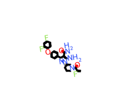 C=C(F)C(=O)N1CCC[C@@H](n2nc(-c3ccc(Oc4ccc(F)cc4F)cc3)c(C(N)=O)c2N)C1